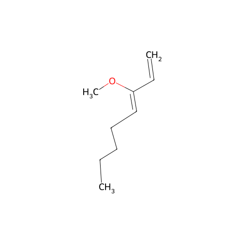 C=CC(=CCCCC)OC